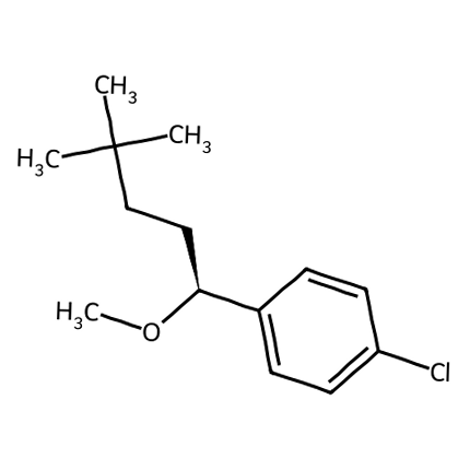 CO[C@@H](CCC(C)(C)C)c1ccc(Cl)cc1